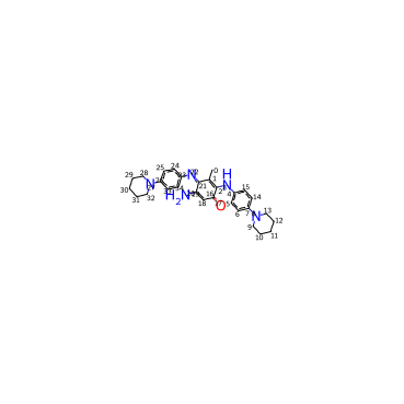 CC1=C(Nc2ccc(N3CCCCC3)cc2)C(=O)C=C(N)/C1=N\c1ccc(N2CCCCC2)cc1